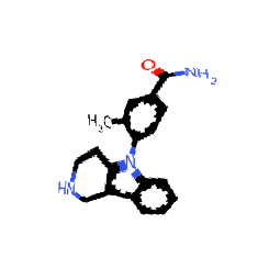 Cc1cc(C(N)=O)ccc1-n1c2c(c3ccccc31)CNCC2